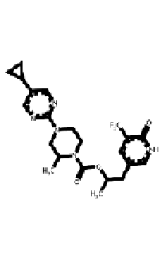 CC(Cc1c[nH]c(=O)c(C(F)(F)F)c1)OC(=O)N1CCN(c2ncc(C3CC3)cn2)CC1C